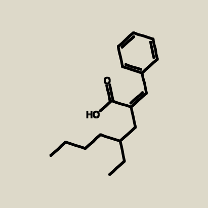 CCCCC(CC)CC(=Cc1ccccc1)C(=O)O